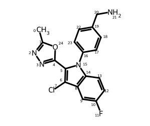 Cc1nnc(-c2c(Cl)c3cc(F)ccc3n2-c2ccc(CN)cc2)o1